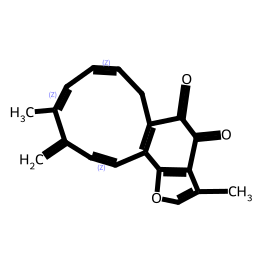 C=C1/C=C\C2=C(C/C=C\C=C/1C)C(=O)C(=O)c1c(C)coc12